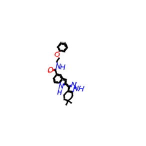 CC1(C)CCc2c(-c3cc4cc(C(=O)NCCOc5ccccc5)ccc4[nH]3)n[nH]c2C1